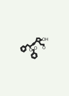 O=CCC1C(O)CCC1C#CC(Cc1ccccc1)OC(=O)c1ccccc1